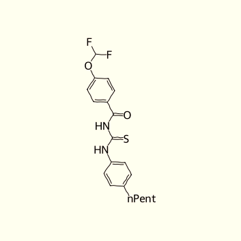 CCCCCc1ccc(NC(=S)NC(=O)c2ccc(OC(F)F)cc2)cc1